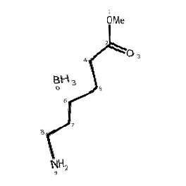 B.COC(=O)CCCCCN